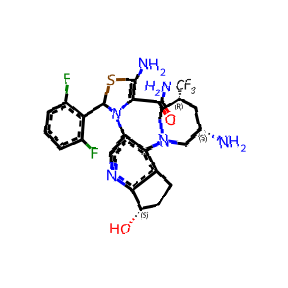 NC(=O)C1=C(N)SC(c2c(F)cccc2F)N1c1cnc2c(c1N1C[C@@H](N)C[C@@H](C(F)(F)F)C1)CC[C@@H]2O